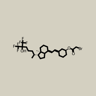 CC(CCCC(O)(C(F)(F)F)C(F)(F)F)[C@H]1CCC2/C(=C/C=C3\CCC[C@H](OC(=O)CBr)C3)CCC[C@@]21C